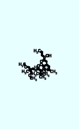 C=CCN(O)C(=O)C[C@@H](CC(C)C)C(=O)N[C@H](C(=O)NCC(C)(COC)COC)C(C)(C)C